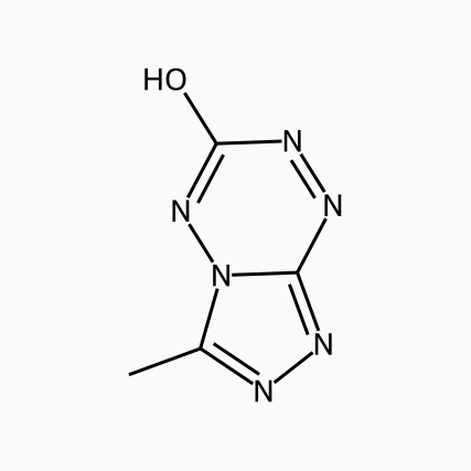 Cc1nnc2nnc(O)nn12